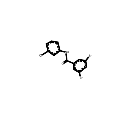 O=C(Nc1cccc(Cl)c1)c1cc(Br)cc(Br)c1